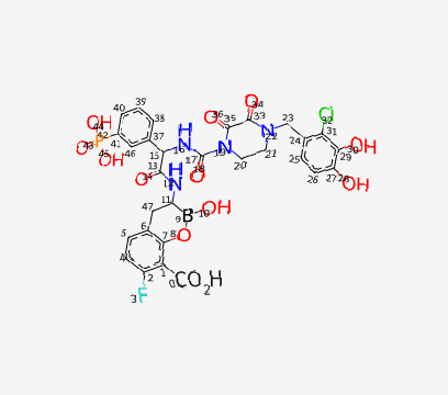 O=C(O)c1c(F)ccc2c1OB(O)C(NC(=O)C(NC(=O)N1CCN(Cc3ccc(O)c(O)c3Cl)C(=O)C1=O)c1cccc(P(=O)(O)O)c1)C2